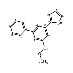 COOc1cc(-c2ccccc2)nc(-c2cccs2)c1